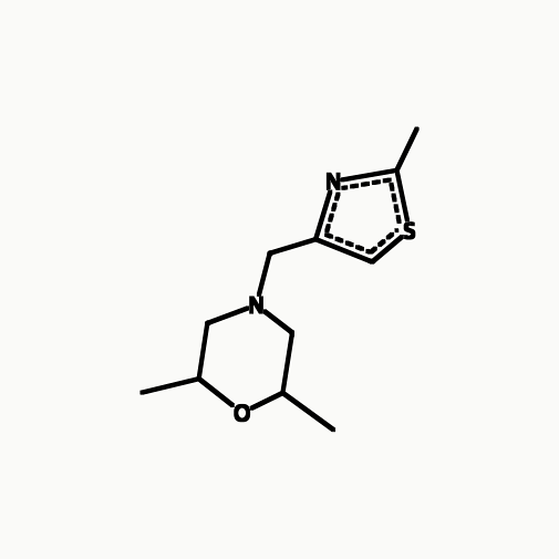 Cc1nc(CN2CC(C)OC(C)C2)cs1